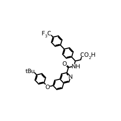 CC(C)(C)c1ccc(Oc2ccc3cnc(C(=O)NC(CC(=O)O)c4ccc(-c5ccc(C(F)(F)F)cc5)cc4)cc3c2)cc1